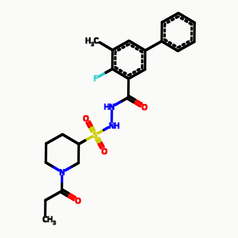 CCC(=O)N1CCCC(S(=O)(=O)NNC(=O)c2cc(-c3ccccc3)cc(C)c2F)C1